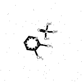 Cc1cccnc1C.O=P(O)(O)O